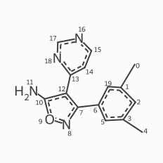 Cc1cc(C)cc(-c2noc(N)c2-c2ccncn2)c1